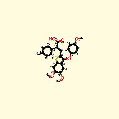 COc1ccc(Oc2c(/C=C(/C(=O)O)c3ccc(C)cc3)sc3cc(OC)c(OC)cc23)cc1